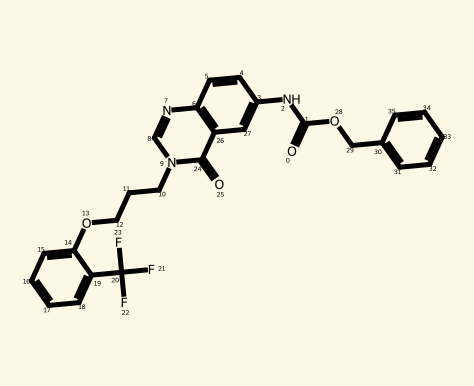 O=C(Nc1ccc2ncn(CCCOc3ccccc3C(F)(F)F)c(=O)c2c1)OCc1ccccc1